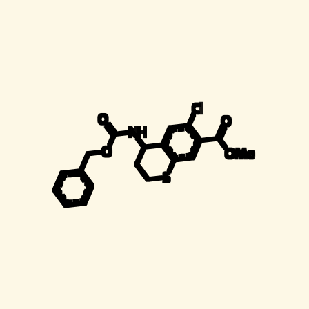 COC(=O)c1cc2c(cc1Cl)C(NC(=O)OCc1ccccc1)CCS2